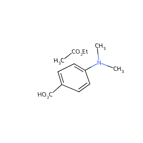 CCOC(C)=O.CN(C)c1ccc(C(=O)O)cc1